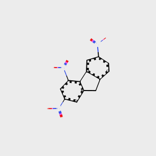 O=[N+]([O-])c1ccc2c(c1)-c1c(cc([N+](=O)[O-])cc1[N+](=O)[O-])C2